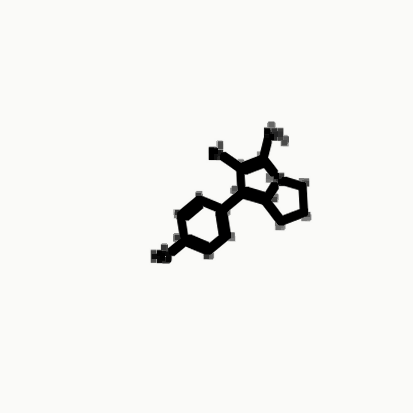 Nc1c(Br)c(-c2ccc(O)cc2)c2n1CCC2